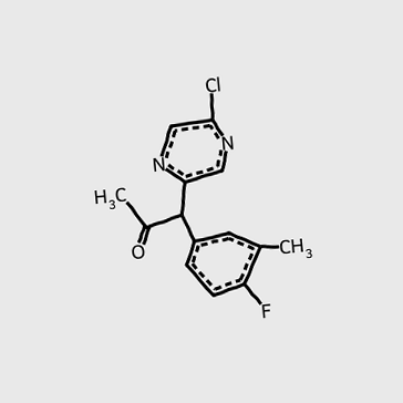 CC(=O)C(c1ccc(F)c(C)c1)c1cnc(Cl)cn1